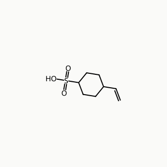 C=CC1CCC(S(=O)(=O)O)CC1